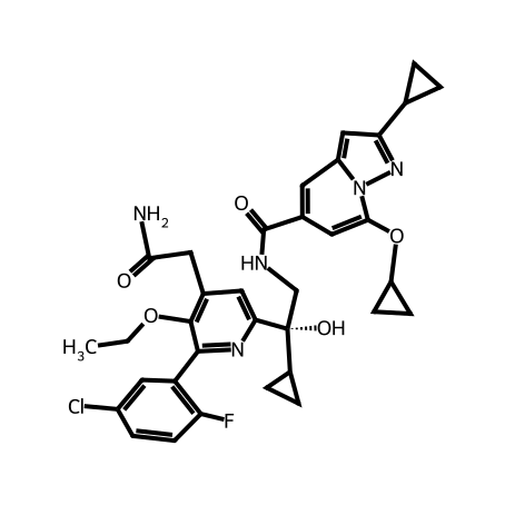 CCOc1c(CC(N)=O)cc([C@@](O)(CNC(=O)c2cc(OC3CC3)n3nc(C4CC4)cc3c2)C2CC2)nc1-c1cc(Cl)ccc1F